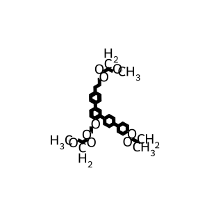 C=C(C)C(=O)OC1CCC(C2CCC(c3cc(-c4ccc(CCCOC(=O)C(=C)COC)cc4)ccc3OCCOC(=O)C(=C)COC)CC2)CC1